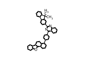 CC1(C)c2ccccc2-c2ccc(-c3nc(-c4ccc(-c5cccc6c5ccc5c7ccccc7oc65)cc4)c4ccccc4n3)cc21